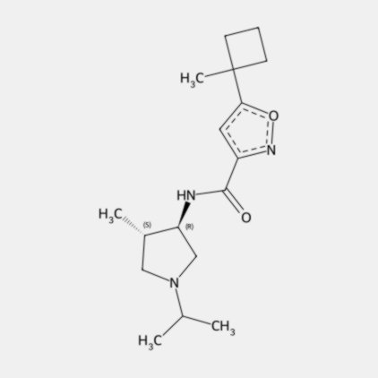 CC(C)N1C[C@H](NC(=O)c2cc(C3(C)CCC3)on2)[C@@H](C)C1